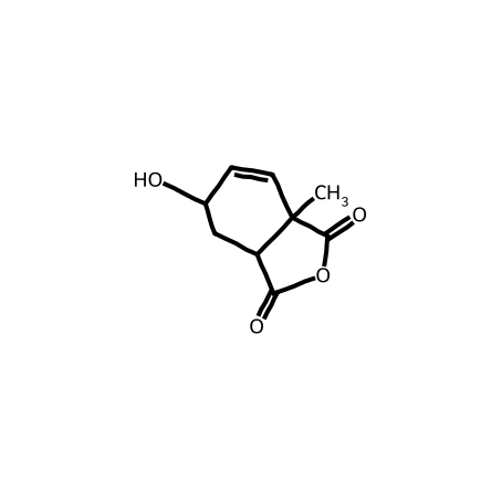 CC12C=CC(O)CC1C(=O)OC2=O